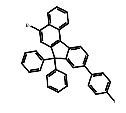 Brc1cc2c(c3ccccc13)-c1ccc(-c3ccc(I)cc3)cc1C2(c1ccccc1)c1ccccc1